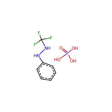 FC(F)(F)NNc1ccccc1.O=P(O)(O)O